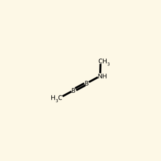 CB=BNC